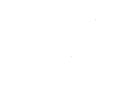 CC(C)c1cc(-c2ccccc2)nc(-c2ccc(F)cc2)c1CO